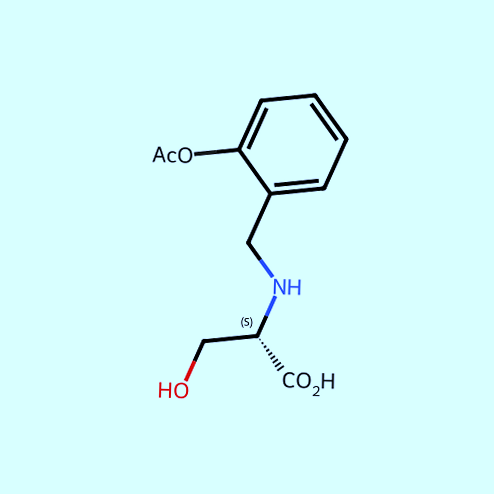 CC(=O)Oc1ccccc1CN[C@@H](CO)C(=O)O